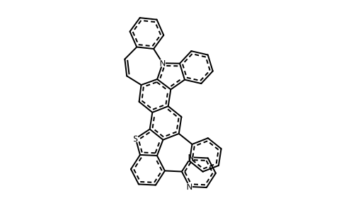 C1=Cc2cc3c(cc(-c4ccccc4)c4c3sc3cccc(-c5ncccn5)c34)c3c4ccccc4n(c23)-c2ccccc21